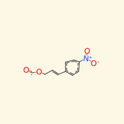 O=[C]OCC=Cc1ccc([N+](=O)[O-])cc1